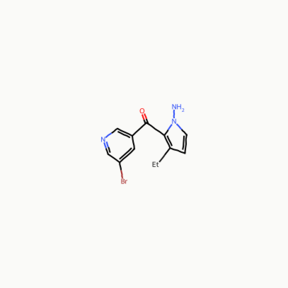 CCc1ccn(N)c1C(=O)c1cncc(Br)c1